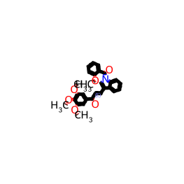 COc1ccccc1C(=O)n1cc(/C=C/C(=O)c2cc(OC)c(OC)c(OC)c2)c2ccccc21